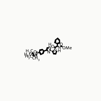 COC(=O)N[C@@H](C(=O)N1CC=C[C@H]1c1nc(-c2ccc(B3OC(C)(C)C(C)(C)O3)cc2)c[nH]1)c1ccccc1